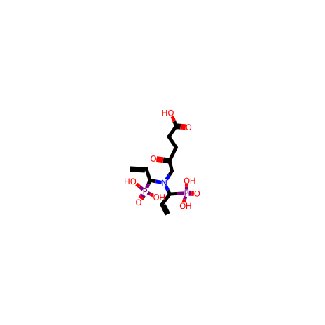 C=CC(N(CC(=O)CCC(=O)O)C(C=C)P(=O)(O)O)P(=O)(O)O